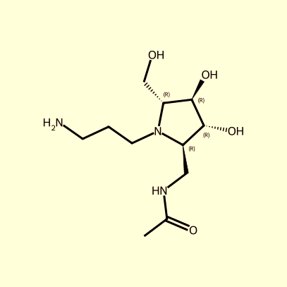 CC(=O)NC[C@@H]1[C@@H](O)[C@H](O)[C@@H](CO)N1CCCN